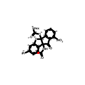 CCCCCCC(=O)NC12C(=O)c3c([N+](=O)[O-])cccc3C1(OC(=O)CCCCCC)Oc1cc(C(C)C)ccc12